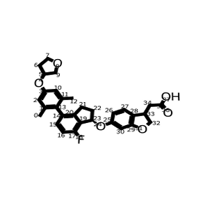 Cc1cc(OC2CCOC2)cc(C)c1-c1ccc(F)c2c1CC[C@H]2Oc1ccc2c(c1)OCC2CC(=O)O